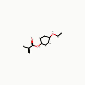 C=C(C)C(=O)OC1CCC(OCC)CC1